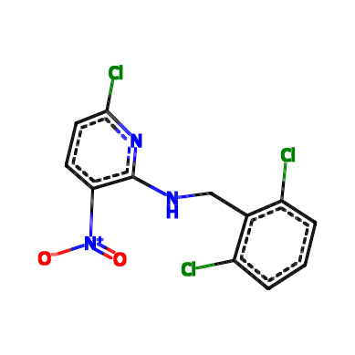 O=[N+]([O-])c1ccc(Cl)nc1NCc1c(Cl)cccc1Cl